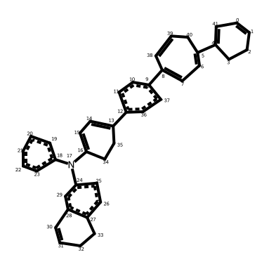 C1=CCCC(C2=CC=C(c3ccc(C4=CC=C(N(c5ccccc5)c5ccc6c(c5)C=CCC6)CC4)cc3)C=CC2)=C1